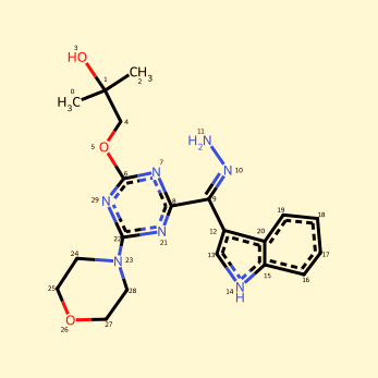 CC(C)(O)COc1nc(C(=NN)c2c[nH]c3ccccc23)nc(N2CCOCC2)n1